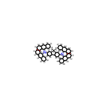 CC1(C)c2cc(N(c3c4ccccc4cc4ccccc34)c3c4ccccc4cc4ccccc34)ccc2-c2ccc(N(c3c4ccccc4cc4ccccc34)c3c4ccccc4cc4ccccc34)cc21